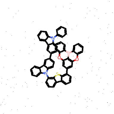 c1ccc(-n2c3ccccc3c3cc(-c4ccc5c(c4)c4ccccc4n5-c4cccc5c4sc4c(-c6cc7c8c(c6)Oc6ccccc6B8c6ccccc6O7)cccc45)ccc32)cc1